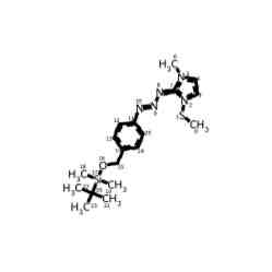 CSn1ccn(C)/c1=N/N=N/c1ccc(CO[Si](C)(C)C(C)(C)C)cc1